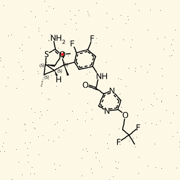 COC[C@@]12SC(N)=N[C@](C)(c3cc(NC(=O)c4cnc(OCC(C)(F)F)cn4)cc(F)c3F)[C@@H]1[C@@H]2C